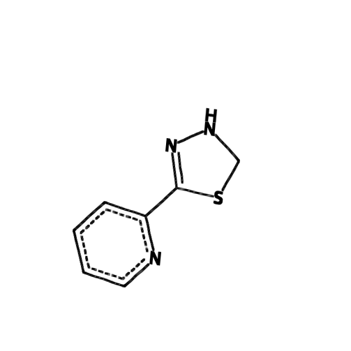 c1ccc(C2=NNCS2)nc1